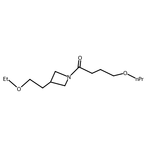 CCCOCCCC(=O)N1CC(CCOCC)C1